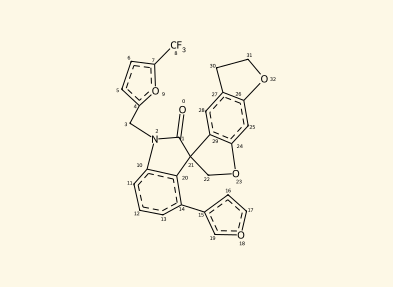 O=C1N(Cc2ccc(C(F)(F)F)o2)c2cccc(-c3ccoc3)c2C12COc1cc3c(cc12)CCO3